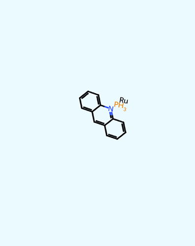 P.[Ru].c1ccc2nc3ccccc3cc2c1